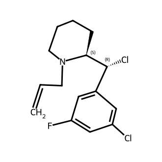 C=CCN1CCCC[C@H]1[C@H](Cl)c1cc(F)cc(Cl)c1